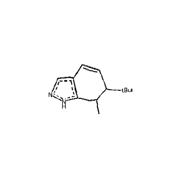 CC1c2[nH]ncc2C=CC1C(C)(C)C